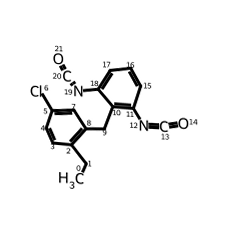 CCc1ccc(Cl)cc1Cc1c(N=C=O)cccc1N=C=O